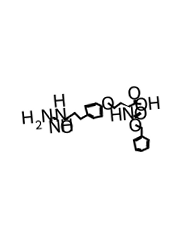 N=C(N)NC(=O)CCc1ccc(OCC[C@H](NC(=O)OCc2ccccc2)C(=O)O)cc1